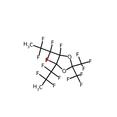 CC(F)(F)C(F)(F)C1(F)OC(C(F)(F)F)(C(F)(F)F)OC1(F)C(F)(F)C(C)(F)F